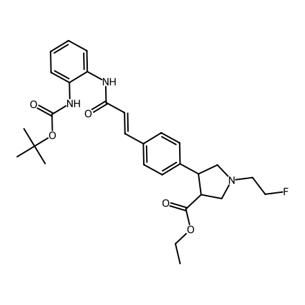 CCOC(=O)C1CN(CCF)CC1c1ccc(/C=C/C(=O)Nc2ccccc2NC(=O)OC(C)(C)C)cc1